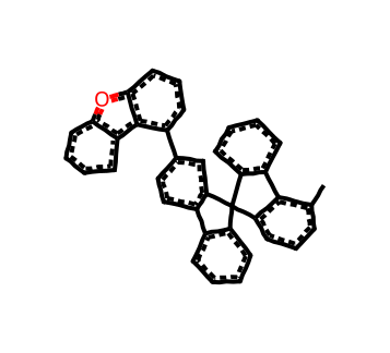 Cc1cccc2c1-c1ccccc1C21c2ccccc2-c2ccc(-c3cccc4oc5ccccc5c34)cc21